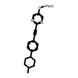 CCCCCOc1cnc(C#Cc2ccc(C3CCC(C)CC3)cc2)nc1